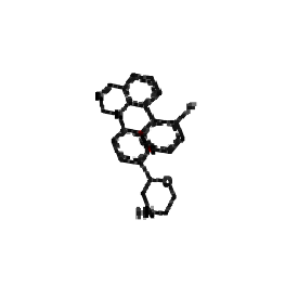 Fc1ccccc1-c1cccc2c1N(c1ccc(C3CNCCO3)nc1)CN=C2